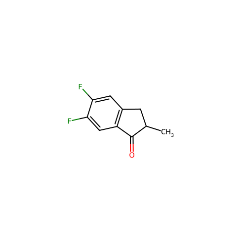 CC1Cc2cc(F)c(F)cc2C1=O